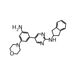 Nc1cc(-c2cnc(NC3Cc4ccccc4C3)nc2)cc(N2CCOCC2)c1